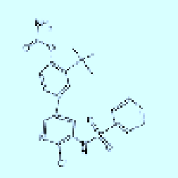 CC(C)(C)c1cc(-c2cnc(Cl)c(NS(=O)(=O)c3ccccc3)c2)ccc1OC(N)=O